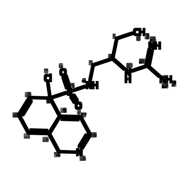 CCC(CNS(=O)(=O)C1(Cl)C=CC=C2CN=CC=C21)NC(=N)N